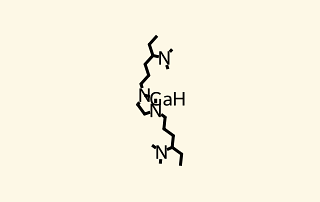 CCC(CCC[N]1CC[N](CCCC(CC)N(C)C)[GaH]1)N(C)C